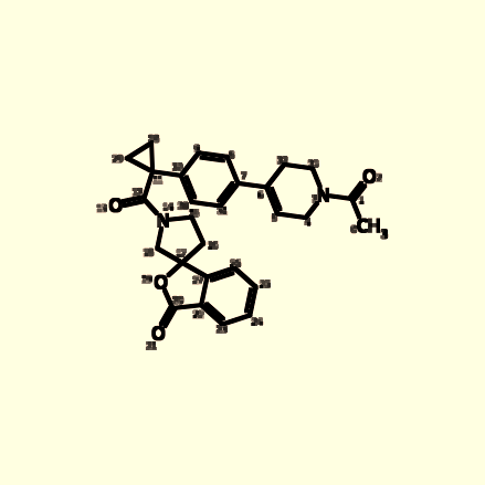 CC(=O)N1CC=C(c2ccc(C3(C(=O)N4CCC5(C4)OC(=O)c4ccccc45)CC3)cc2)CC1